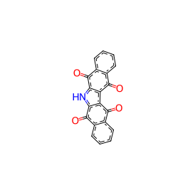 O=c1c2ccccc2c(=O)c2c1[nH]c1c(=O)c3ccccc3c(=O)c12